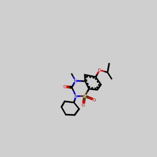 CC(C)Oc1ccc2c(c1)N(C)C(=O)N(C1CCCCC1)S2(=O)=O